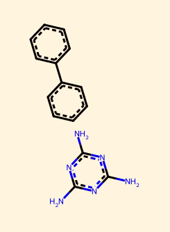 Nc1nc(N)nc(N)n1.c1ccc(-c2ccccc2)cc1